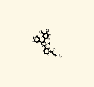 NCC(=O)N1CCCC(c2nc(-c3ccncc3)c(-c3ccc(Cl)c(Cl)c3)[nH]2)C1